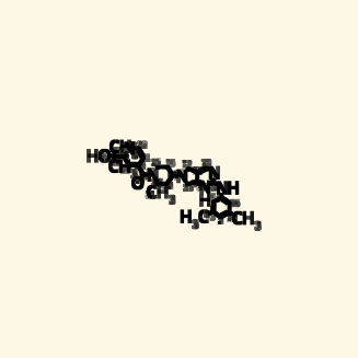 Cc1cc(C)cc(NC2=NC=C3CN([C@@H]4CCN(C(=O)c5ccnc(C(C)(C)O)c5)[C@H](C)C4)CC3N2)c1